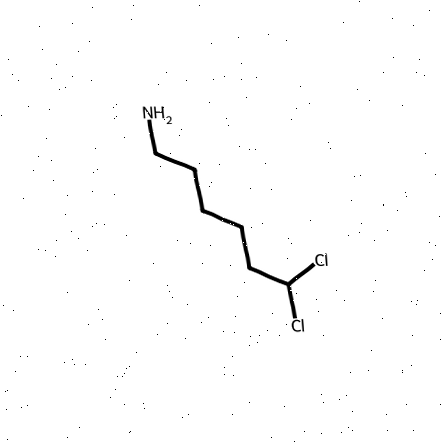 NCCCCCC(Cl)Cl